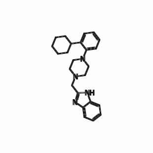 c1ccc(N2CCN(Cc3nc4ccccc4[nH]3)CC2)c(C2CCCCC2)c1